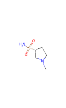 CN1CC[C@@H](S(N)(=O)=O)C1